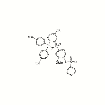 COc1cc(S(=O)(=O)OS(c2ccc(C(C)(C)C)cc2)(c2ccc(C(C)(C)C)cc2)c2ccc(C(C)(C)C)cc2)ccc1OS(=O)(=O)c1ccccc1